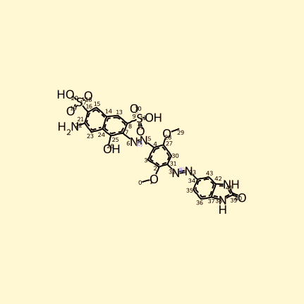 COc1cc(/N=N/c2c(S(=O)(=O)O)cc3cc(S(=O)(=O)O)c(N)cc3c2O)c(OC)cc1/N=N/c1ccc2[nH]c(=O)[nH]c2c1